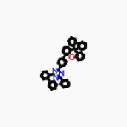 c1ccc(-c2nc(-c3ccc(-c4cccc5c4Oc4ccccc4C5(c4ccccc4)c4ccccc4)cc3)nc(-c3ccccc3-c3ccccc3)n2)cc#1